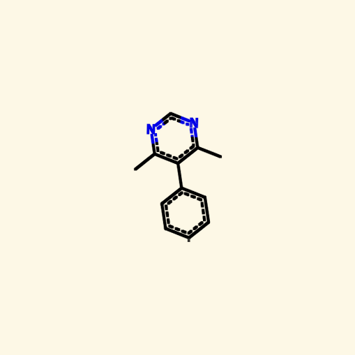 Cc1ncnc(C)c1-c1cc[c]cc1